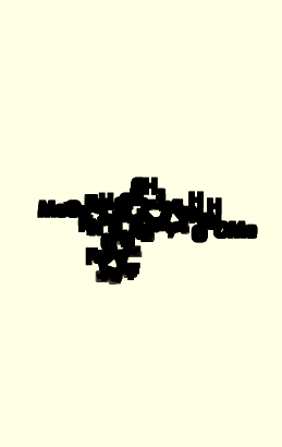 CONC(=O)Nc1ccc(-c2cn3c(c2CN(C)C)c(=O)n(-c2ccc(OC)nn2)c(=O)n3Cc2cc(F)ccc2F)cc1